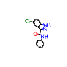 O=C(Nc1ccccc1)c1n[nH]c2ccc(Cl)cc12